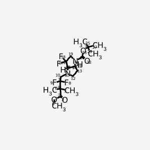 COC(=O)C(C)(C)C(F)(F)CN1CC[C@H]2[C@@H]1C(F)(F)CN2C(=O)OC(C)(C)C